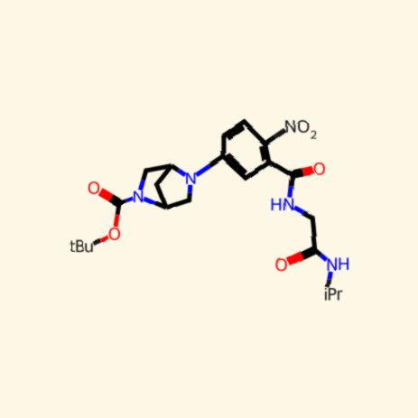 CC(C)NC(=O)CNC(=O)c1cc(N2CC3CC2CN3C(=O)OC(C)(C)C)ccc1[N+](=O)[O-]